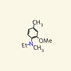 CCN(C)c1ccc(C)cc1OC